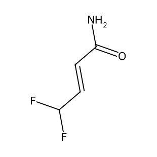 NC(=O)C=CC(F)F